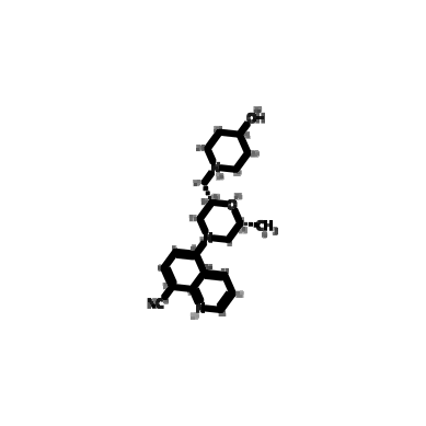 C[C@@H]1CN(c2ccc(C#N)c3ncccc23)C[C@H](CN2CCC(O)CC2)O1